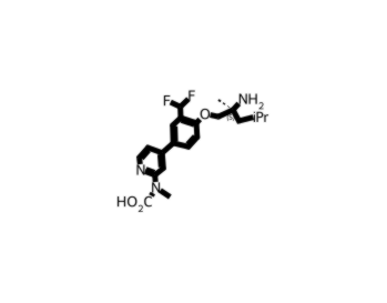 CC(C)C[C@](C)(N)COc1ccc(-c2ccnc(N(C)C(=O)O)c2)cc1C(F)F